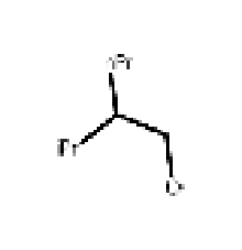 CCCC(C[O])C(C)C